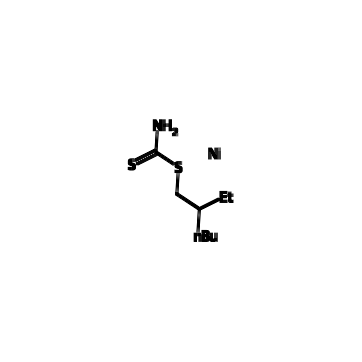 CCCCC(CC)CSC(N)=S.[Ni]